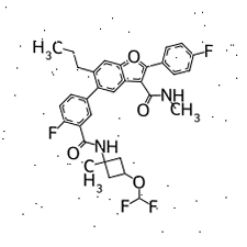 CCCc1cc2oc(-c3ccc(F)cc3)c(C(=O)NC)c2cc1-c1ccc(F)c(C(=O)NC2(C)CC(OC(F)F)C2)c1